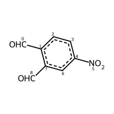 O=Cc1ccc([N+](=O)[O-])cc1C=O